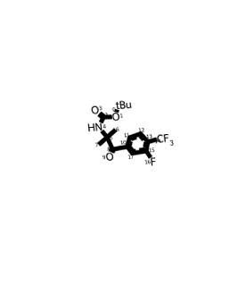 CC(C)(C)OC(=O)NC(C)(C)C(=O)c1ccc(C(F)(F)F)c(F)c1